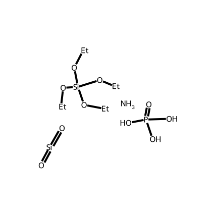 CCO[Si](OCC)(OCC)OCC.N.O=P(O)(O)O.O=[Si]=O